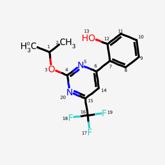 CC(C)Oc1nc(-c2ccccc2O)cc(C(F)(F)F)n1